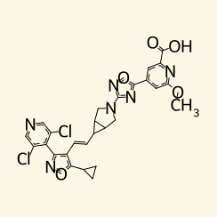 COc1cc(-c2nc(N3CC4C(C=Cc5c(-c6c(Cl)cncc6Cl)noc5C5CC5)C4C3)no2)cc(C(=O)O)n1